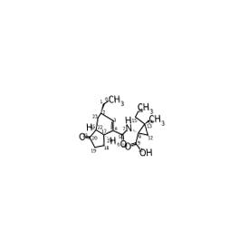 CC[C@H]1C=C(C(=O)N[C@@]2(C(=O)O)C[C@@]2(C)CC)[C@H]2CCC(=O)[C@H]2C1